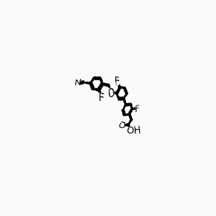 N#Cc1ccc(COc2cc(-c3ccc(CC(=O)O)c(F)c3)ccc2F)c(F)c1